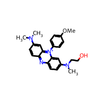 COc1ccc(-[n+]2c3cc(N(C)C)ccc3nc3ccc(N(C)CCO)cc32)cc1